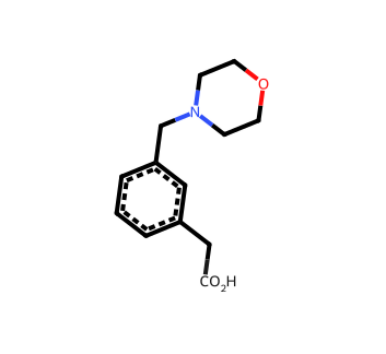 O=C(O)Cc1cccc(CN2CCOCC2)c1